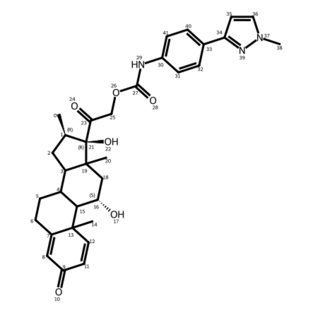 C[C@@H]1CC2C3CCC4=CC(=O)C=CC4(C)C3[C@@H](O)CC2(C)[C@@]1(O)C(=O)COC(=O)Nc1ccc(-c2ccn(C)n2)cc1